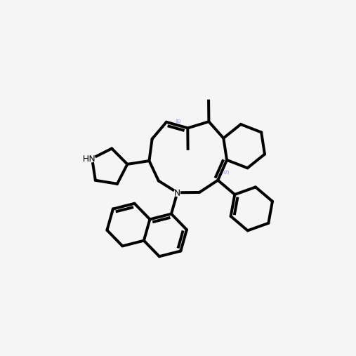 C/C1=C\CC(C2CCNC2)CN(C2=C3C=CCCC3CC=C2)C/C(C2=CCCCC2)=C2/CCCCC2C1C